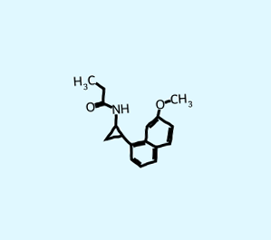 CCC(=O)NC1CC1c1cccc2ccc(OC)cc12